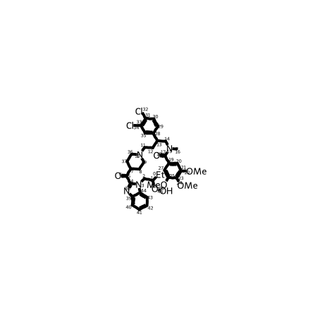 CCC(Cn1c(C(=O)C2CCN(CCC(CN(C)C(=O)c3cc(OC)c(OC)c(OC)c3)c3ccc(Cl)c(Cl)c3)CC2)nc2ccccc21)OO